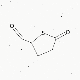 O=CC1CCC(=O)S1